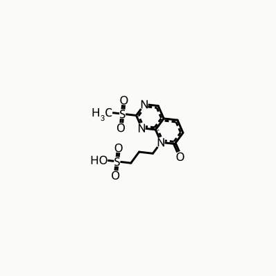 CS(=O)(=O)c1ncc2ccc(=O)n(CCCS(=O)(=O)O)c2n1